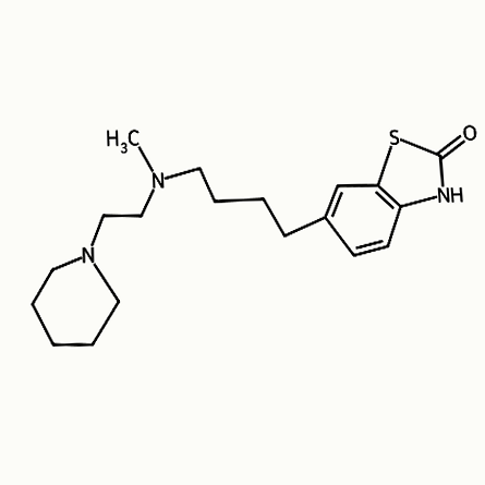 CN(CCCCc1ccc2[nH]c(=O)sc2c1)CCN1CCCCC1